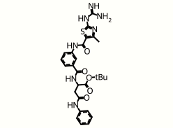 Cc1nc(NC(=N)N)sc1C(=O)Nc1cccc(C(=O)NC(CC(=O)Nc2ccccc2)C(=O)OC(C)(C)C)c1